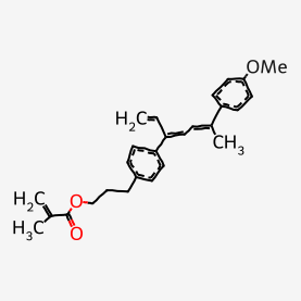 C=C/C(=C\C=C(/C)c1ccc(OC)cc1)c1ccc(CCCOC(=O)C(=C)C)cc1